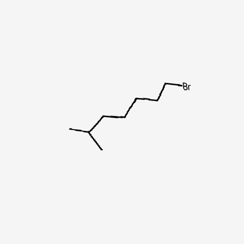 CC(C)CCCCCBr